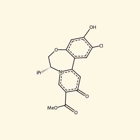 COC(=O)c1cn2c(cc1=O)-c1cc(Cl)c(O)cc1OC[C@H]2C(C)C